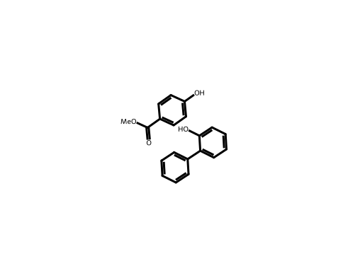 COC(=O)c1ccc(O)cc1.Oc1ccccc1-c1ccccc1